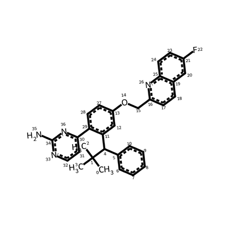 CC(C)(C)C(c1ccccc1)c1cc(OCc2ccc3cc(F)ccc3n2)ccc1-c1ccnc(N)n1